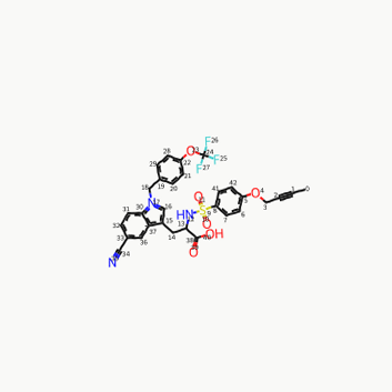 CC#CCOc1ccc(S(=O)(=O)NC(Cc2cn(Cc3ccc(OC(F)(F)F)cc3)c3ccc(C#N)cc23)C(=O)O)cc1